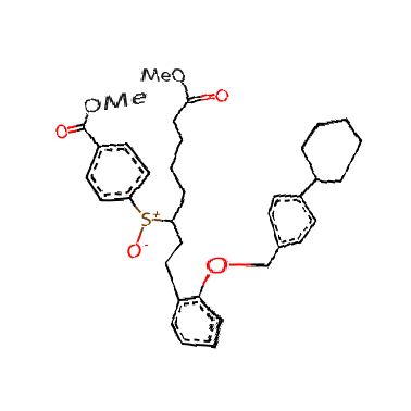 COC(=O)CCCCC(CCc1ccccc1OCc1ccc(C2CCCCC2)cc1)[S+]([O-])c1ccc(C(=O)OC)cc1